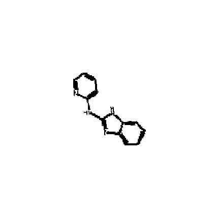 c1ccc(Nc2nc3ccccc3[nH]2)nc1